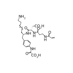 C=CC(=O)NCCC(=O)N[C@@H](CC(=O)O)C(=O)N[C@H](CSSCCN)Cc1ccc(NC(=O)C(=O)O)cc1